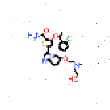 CC(Oc1cc(-c2cnc3ccc(OCCN(C)CCO)cn23)sc1C(N)=O)c1ccccc1Cl